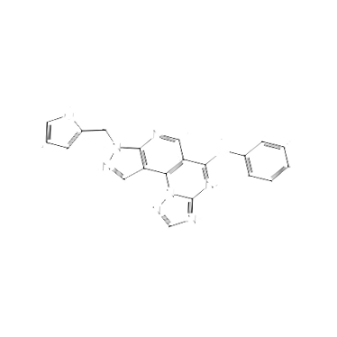 c1ccc(Oc2nc3ncnn3c3c2cnc2c3cnn2Cc2ccco2)cc1